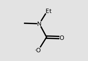 CCN(C)C([O])=O